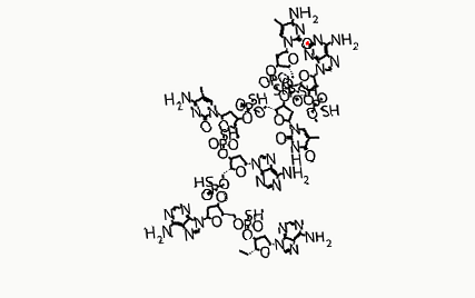 CC[C@H]1O[C@@H](n2cnc3c(N)ncnc32)CC1OP(=O)(S)OC[C@H]1O[C@@H](n2cnc3c(N)ncnc32)CC1OP(=O)(S)OC[C@H]1O[C@@H](n2cnc3c(N)ncnc32)CC1OP(=O)(S)OC[C@H]1O[C@@H](n2cc(C)c(N)nc2=O)CC1OP(=O)(S)OC[C@H]1O[C@@H](n2cc(C)c(=O)[nH]c2=O)CC1OP(=O)(S)OC[C@H]1O[C@@H](n2cc(C)c(N)nc2=O)CC1OP(=O)(S)OC[C@H]1O[C@@H](n2cnc3c(N)ncnc32)CC1OP(=O)(S)OC